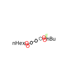 CCCCCC[C@@H](C)OC(=O)c1ccc(-c2ccc([C@H]3CC[C@H](OC(=O)[C@@H](F)CCCC)CC3)cc2)cc1